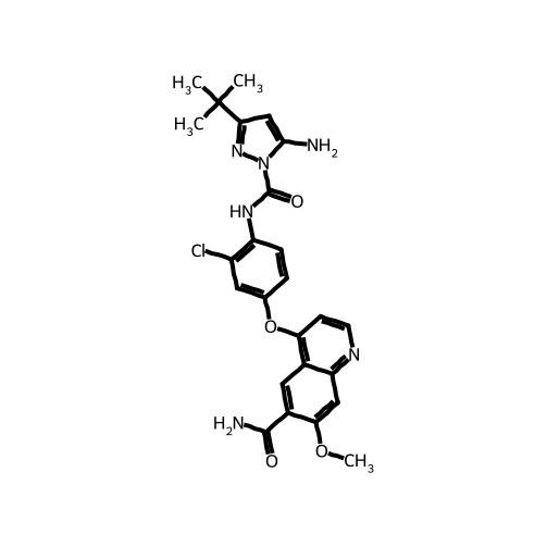 COc1cc2nccc(Oc3ccc(NC(=O)n4nc(C(C)(C)C)cc4N)c(Cl)c3)c2cc1C(N)=O